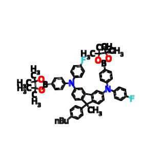 CCCCc1ccc(C2(C)c3ccc(N(c4ccc(F)cc4)c4ccc(B5OC(C)(C)C(C)(C)O5)cc4)cc3-c3cc(N(c4ccc(F)cc4)c4ccc(B5OC(C)(C)C(C)(C)O5)cc4)ccc32)cc1